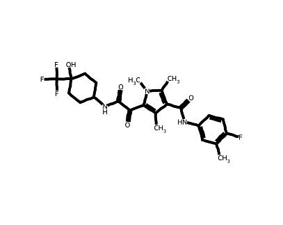 Cc1cc(NC(=O)c2c(C)c(C(=O)C(=O)NC3CCC(O)(C(F)(F)F)CC3)n(C)c2C)ccc1F